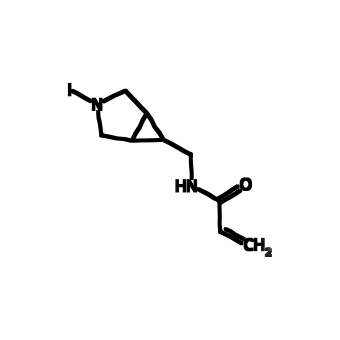 C=CC(=O)NCC1C2CN(I)CC12